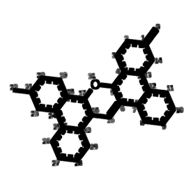 C=c1ccc2c3c(c4ccccc4c2c1)=Cc1c(c2ccc(C)cc2c2ccccc12)O3